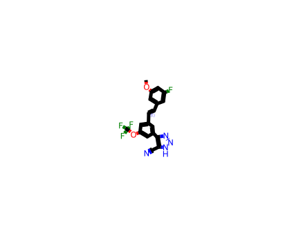 COc1cc(F)cc(/C=C/c2cc(OC(F)(F)F)cc(-c3nn[nH]c3C#N)c2)c1